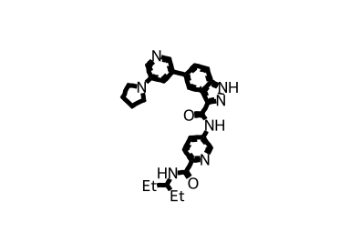 CCC(CC)NC(=O)c1ccc(NC(=O)c2n[nH]c3ccc(-c4cncc(N5CCCC5)c4)cc23)cn1